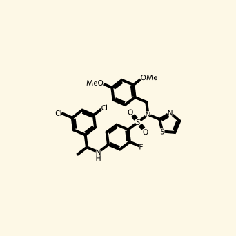 COc1ccc(CN(c2nccs2)S(=O)(=O)c2ccc(NC(C)c3cc(Cl)cc(Cl)c3)cc2F)c(OC)c1